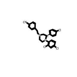 [C-]#[N+]c1ccc(CCN2CCN(c3ccc(Cl)cc3Cl)[C@H](c3ccc(Cl)cc3)C2)cc1